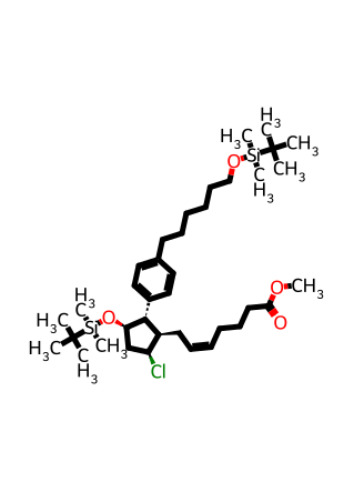 COC(=O)CCC/C=C\C[C@@H]1[C@@H](c2ccc(CCCCCCO[Si](C)(C)C(C)(C)C)cc2)[C@H](O[Si](C)(C)C(C)(C)C)C[C@@H]1Cl